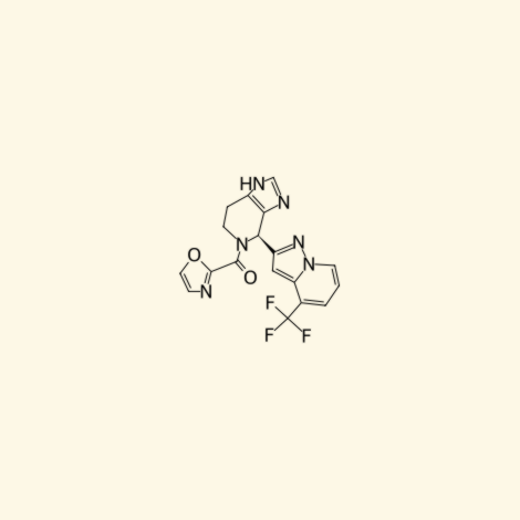 O=C(c1ncco1)N1CCc2[nH]cnc2[C@H]1c1cc2c(C(F)(F)F)cccn2n1